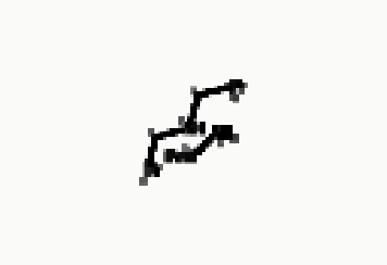 CC(C)CNCC(C)C.CCCC(C)N